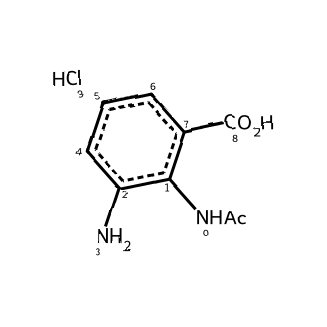 CC(=O)Nc1c(N)cccc1C(=O)O.Cl